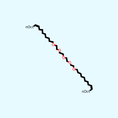 CCCCCCCC/C=C\CCCCCCCCOCCOCCOCCOCCOCCCCCCCC/C=C\CCCCCCCC